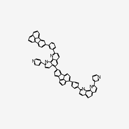 c1cncc(-c2ccc3ccc4ccc(-c5ccc(-c6ccc7c8c(cccc68)-c6ccc(-c8cc9ccc(-c%10cccc(-c%11ccc%12c(c%11)-c%11cccc%13cccc-%12c%11%13)c%10)nc9c9nc(-c%10ccncc%10)ccc89)cc6-7)cc5)nc4c3n2)c1